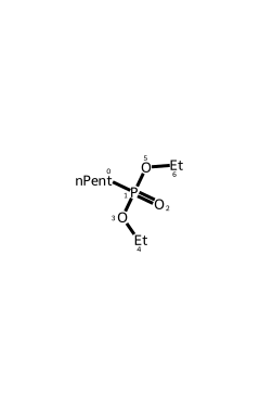 CCCCCP(=O)(OCC)OCC